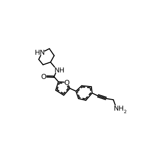 NCC#Cc1ccc(-c2ccc(C(=O)NC3CCNCC3)o2)cc1